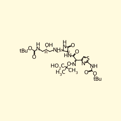 CC(C)(C)OC(=O)NC[C@H](O)CNC[C@@H]1NC(=O)[C@H]1NC(=O)C(=NOC(C)(C)C(=O)O)c1csc(NC(=O)OC(C)(C)C)n1